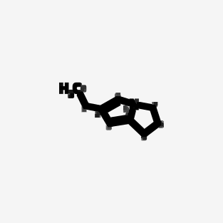 CCc1cc2n(c1)CCC2